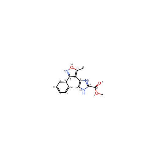 COC(=O)c1nc(-c2c(-c3ccccc3)noc2C)c[nH]1